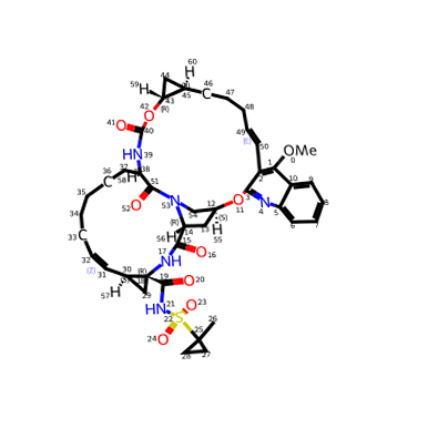 COc1c2c(nc3ccccc13)O[C@H]1C[C@@H]3C(=O)N[C@]4(C(=O)NS(=O)(=O)C5(C)CC5)C[C@H]4/C=C\CCCCC[C@H](NC(=O)O[C@@H]4C[C@H]4CCC/C=C/2)C(=O)N3C1